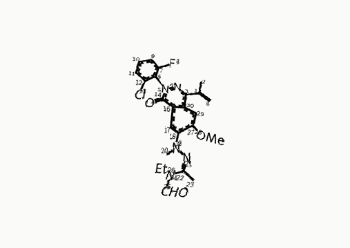 C=C(C)c1nn(-c2c(F)cccc2Cl)c(=O)c2cc(N(C)/N=C(/C)N(C=O)CC)c(OC)cc12